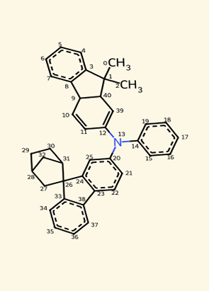 CC1(C)c2ccccc2C2C=CC(N(c3ccccc3)c3ccc4c(c3)C3(CC5CCC3C5)c3ccccc3-4)=CC21